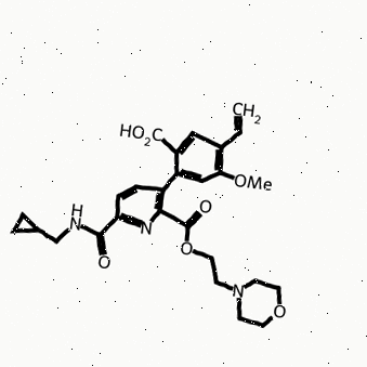 C=Cc1cc(C(=O)O)c(-c2ccc(C(=O)NCC3CC3)nc2C(=O)OCCN2CCOCC2)cc1OC